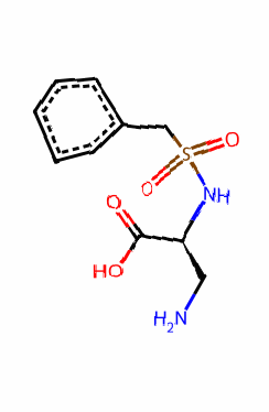 NC[C@H](NS(=O)(=O)Cc1ccccc1)C(=O)O